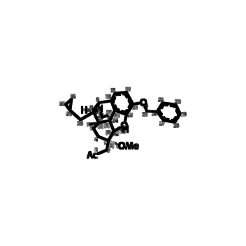 CO[C@]1(CC(C)=O)CC[C@]2(C)[C@H]3Cc4ccc(OCc5ccccc5)c5c4[C@@]2(CCN3CC2CC2)[C@H]1O5